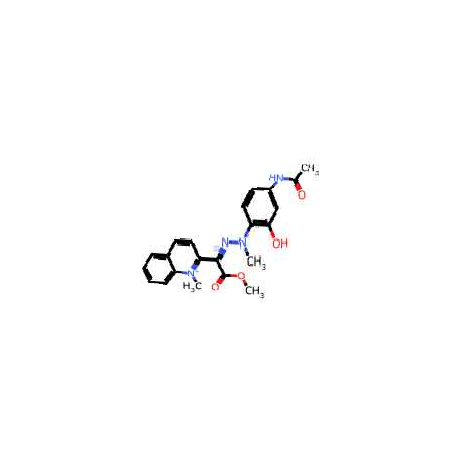 COC(=O)/C(=N\N(C)c1ccc(NC(C)=O)cc1O)c1ccc2ccccc2[n+]1C